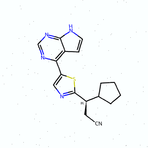 N#CC[C@@H](c1ncc(-c2ncnc3[nH]ccc23)s1)C1CCCC1